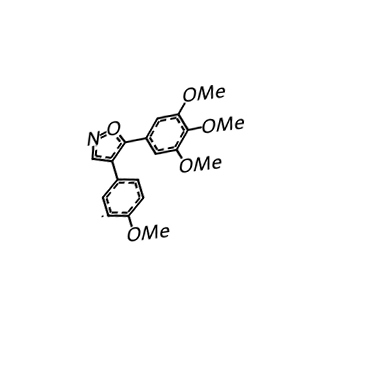 COc1[c]cc(-c2cnoc2-c2cc(OC)c(OC)c(OC)c2)cc1